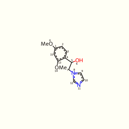 COc1ccc(C(O)Cn2ccnc2)c(OC)c1